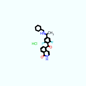 CC(NCC1CCCCC1)c1cc(F)c(C(=O)c2cccc3c(=O)[nH]ccc23)c(F)c1.Cl